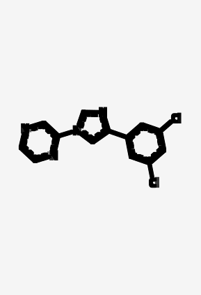 Clc1cc(Cl)cc(-c2cn(-c3cnccn3)cn2)c1